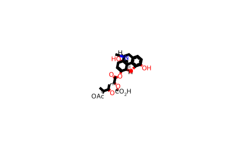 CC(=O)O[C@@H](C)C(=O)C[C@@H](OC(=O)O)C(=O)OC1=CC[C@@]2(O)[C@H]3Cc4ccc(O)c5c4[C@@]2(CCN3C)[C@H]1O5